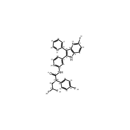 O=C(Nc1cc(-c2[nH]c3ccc(F)nc3c2-c2ccccn2)ccn1)[C@H](CC(F)F)c1ccc(F)cc1